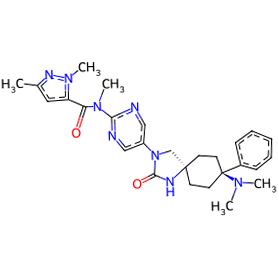 Cc1cc(C(=O)N(C)c2ncc(N3C[C@]4(CC[C@](c5ccccc5)(N(C)C)CC4)NC3=O)cn2)n(C)n1